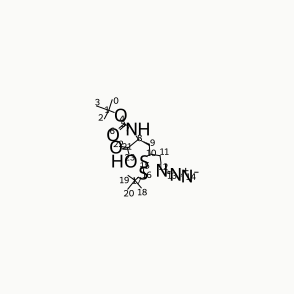 CC(C)(C)OC(=O)N[C@@H](CC(CN=[N+]=[N-])SSC(C)(C)C)C(=O)O